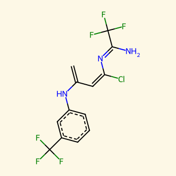 C=C(/C=C(Cl)\N=C(/N)C(F)(F)F)Nc1cccc(C(F)(F)F)c1